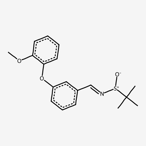 COc1ccccc1Oc1cccc(C=N[S+]([O-])C(C)(C)C)c1